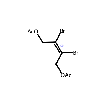 CC(=O)OC/C(Br)=C(/Br)COC(C)=O